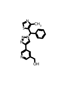 Cc1ncsc1C(c1ccccc1)n1cc(-c2cncc(CO)c2)nn1